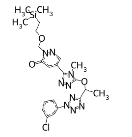 CC(Oc1nnc(-c2cnn(COCC[Si](C)(C)C)c(=O)c2)n1C)c1nnn(-c2cccc(Cl)c2)n1